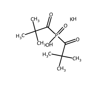 CC(C)(C)C(=O)P(=O)(O)C(=O)C(C)(C)C.[KH]